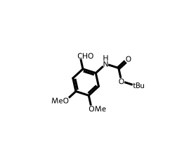 COc1cc(C=O)c(NC(=O)OC(C)(C)C)cc1OC